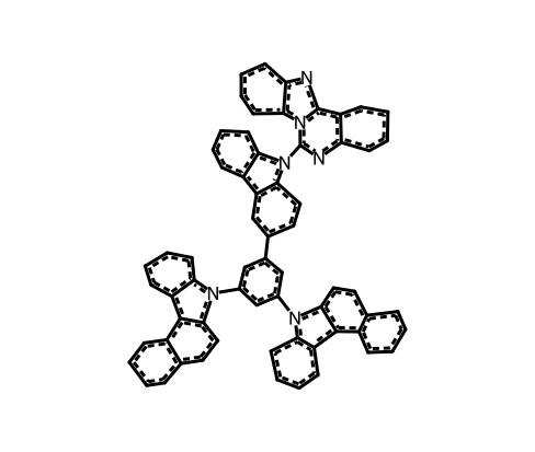 c1ccc2c(c1)ccc1c2c2ccccc2n1-c1cc(-c2ccc3c(c2)c2ccccc2n3-c2nc3ccccc3c3nc4ccccc4n23)cc(-n2c3ccccc3c3c4ccccc4ccc32)c1